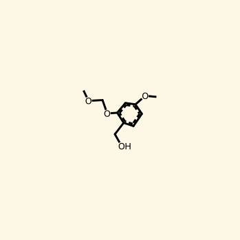 COCOc1cc(OC)ccc1CO